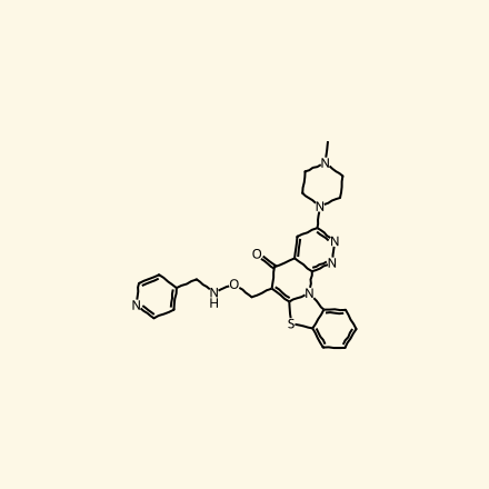 CN1CCN(c2cc3c(=O)c(CONCc4ccncc4)c4sc5ccccc5n4c3nn2)CC1